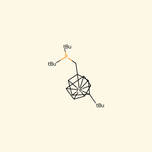 CC(C)(C)P(C[C]12[CH]3[CH]4[C]5(C(C)(C)C)[CH]1[Fe]34251678[CH]2[CH]1[CH]6[CH]7[CH]28)C(C)(C)C